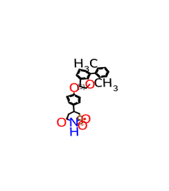 Cc1cccc(C)c1-c1cccc2c1OC[C@H]2Oc1ccc(C2CC(=O)NS(=O)(=O)C2)cc1